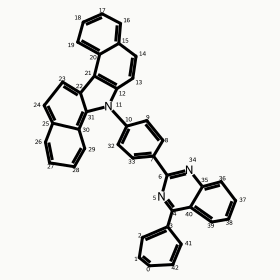 c1ccc(-c2nc(-c3ccc(-n4c5ccc6ccccc6c5c5ccc6ccccc6c54)cc3)nc3ccccc23)cc1